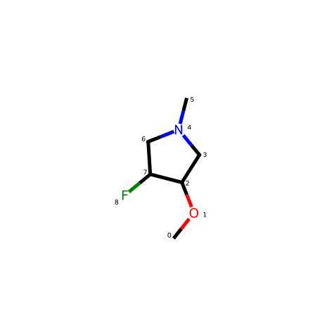 COC1CN(C)CC1F